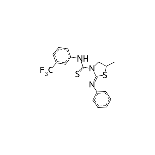 CC1CN(C(=S)Nc2cccc(C(F)(F)F)c2)C(=Nc2ccccc2)S1